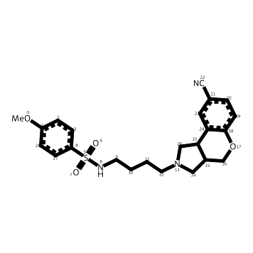 COc1ccc(S(=O)(=O)NCCCCN2CC3COc4ccc(C#N)cc4C3C2)cc1